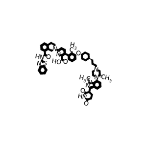 Cc1c(O[C@H]2CC[C@H](CCCN3CCN(c4cccc5c(C6CCC(=O)NC6=O)nn(C)c45)[C@@H](C)C3)CC2)cccc1-c1ccc(N2CCc3cccc(C(=O)Nc4nc5ccccc5s4)c3C2)nc1C(=O)O